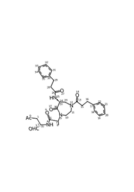 CC(=O)C[C@@H](C=O)NC(=O)C(C)N1CCN(C(=O)CCc2ccccc2)C[C@H](NC(=O)CCc2ccccc2)C1=O